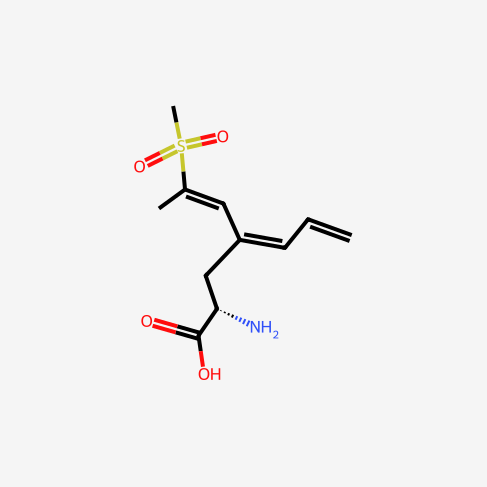 C=C/C=C(\C=C(/C)S(C)(=O)=O)C[C@H](N)C(=O)O